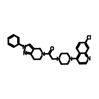 O=C(CN1CCN(c2ccnc3cc(Cl)ccc23)CC1)N1CCc2nn(-c3ccccc3)cc2C1